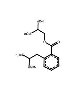 CCCCCCCCCCC(CCCCCCCC)COC(=O)c1ccccc1CC(CCCCCCCC)CCCCCCCCCC